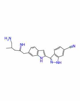 CC(CN)CC(=N)Cc1ccc2cc(-c3n[nH]c4cc(C#N)ccc34)[nH]c2c1